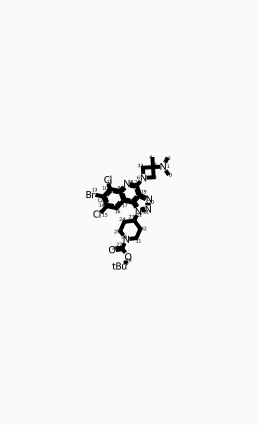 CN(C)C1(C)CN(c2nc3c(Cl)c(Br)c(Cl)cc3c3c2nnn3C2CCN(C(=O)OC(C)(C)C)CC2)C1